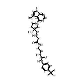 CC(C)(C)c1ccc(NC(=O)NCCNC(=O)CNCC2(O)CCN(c3ncnc4[nH]cc(Br)c34)C2)cc1